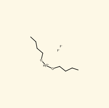 CCCC[O][Hf+2][O]CCCC.[F-].[F-]